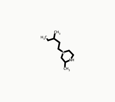 CCC(C)CCN1CCNC(C)C1